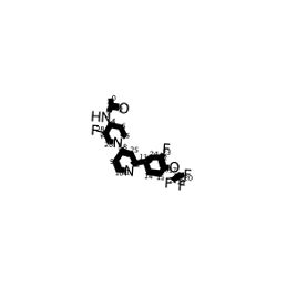 CC(=O)N[C@H]1CCN(c2ccnc(-c3ccc(OC(F)(F)F)c(F)c3)c2)C[C@@H]1F